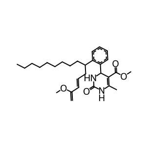 C=C(C=CCC(CCCCCCCCC)c1ccccc1C1NC(=O)NC(C)=C1C(=O)OC)OC